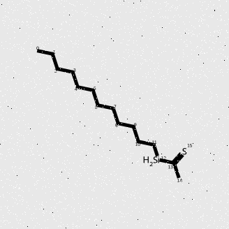 CCCCCCCCCCCC[SiH2]C(C)=S